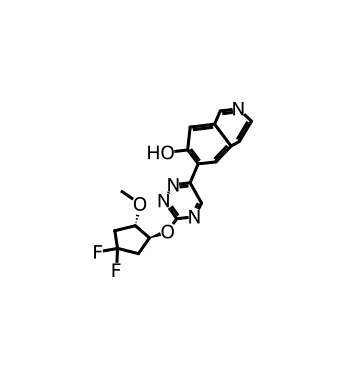 CO[C@H]1CC(F)(F)C[C@@H]1Oc1ncc(-c2cc3ccncc3cc2O)nn1